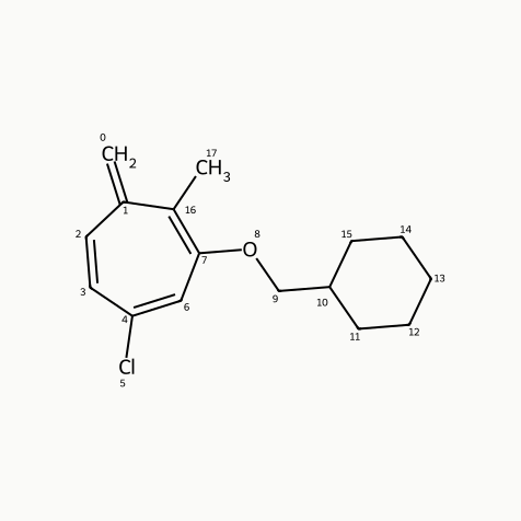 C=C1C=CC(Cl)=CC(OCC2CCCCC2)=C1C